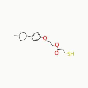 CC1CCC(c2ccc(OCCCOC(=O)CCS)cc2)CC1